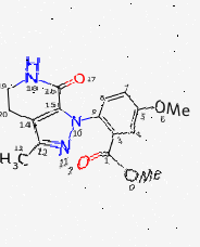 COC(=O)c1cc(OC)ccc1-n1nc(C)c2c1C(=O)NCC2